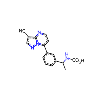 CC(NC(=O)O)c1cccc(-c2ccnc3c(C#N)cnn23)c1